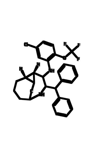 FC(F)(F)Oc1ccc(Cl)cc1NC1C(C(c2ccccc2)c2ccccc2)NC2CCC[C@H]3C(C2)[C@@H]13